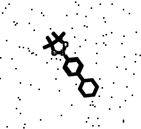 CC1(C)OB(c2ccc(C3CCCCC3)cc2)OC1(C)C